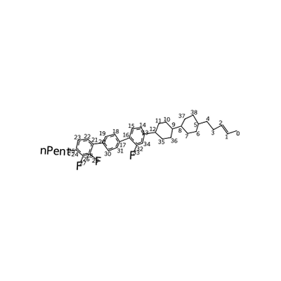 C/C=C/CCC1CCC(C2CCC(c3ccc(-c4ccc(-c5ccc(CCCCC)c(F)c5F)cc4)c(F)c3)CC2)CC1